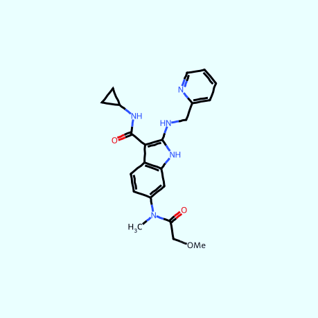 COCC(=O)N(C)c1ccc2c(C(=O)NC3CC3)c(NCc3ccccn3)[nH]c2c1